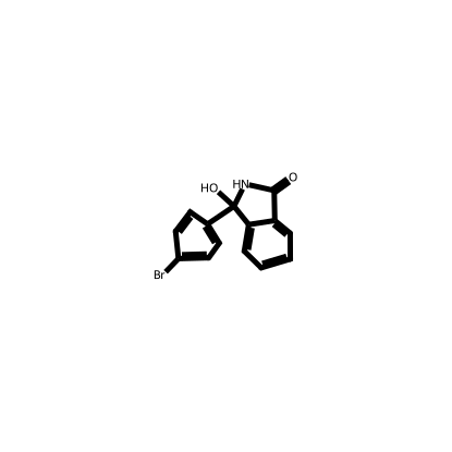 O=C1NC(O)(c2ccc(Br)cc2)c2ccccc21